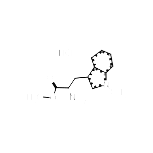 COC(=O)[C@@H](N)Cc1cn(C)c2ccccc12.Cl